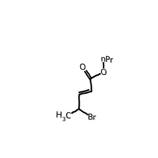 CCCOC(=O)/C=C/C(C)Br